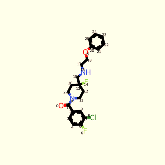 O=C(c1ccc(F)c(Cl)c1)N1CCC(F)(CNCCOc2ccccc2)CC1